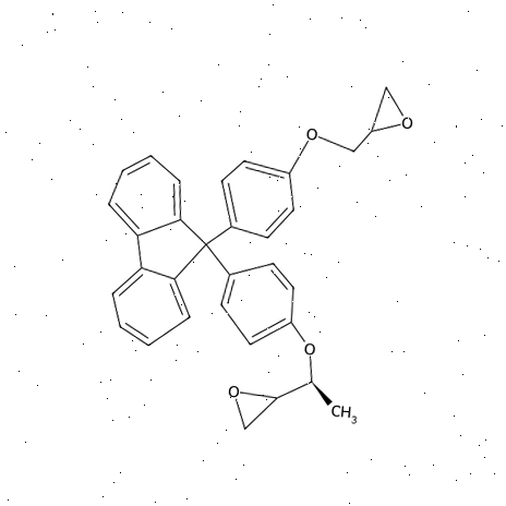 C[C@H](Oc1ccc(C2(c3ccc(OCC4CO4)cc3)c3ccccc3-c3ccccc32)cc1)C1CO1